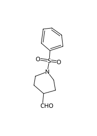 O=CC1CCN(S(=O)(=O)c2ccccc2)CC1